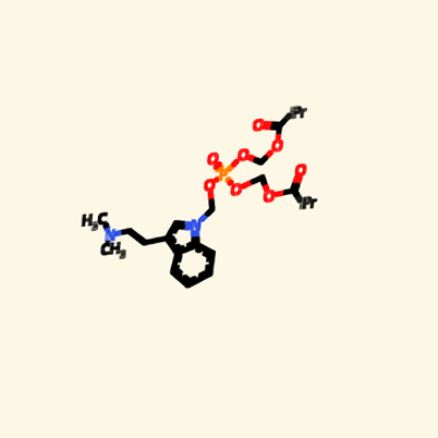 CC(C)C(=O)OCOP(=O)(OCOC(=O)C(C)C)OCn1cc(CCN(C)C)c2ccccc21